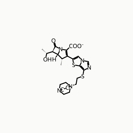 C[C@@H](O)[C@H]1C(=O)N2C(C(=O)[O-])=C(c3cn4cnc(SCC[N+]56CCN(CC5)CC6)c4s3)[C@H](C)[C@H]12